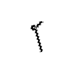 CCCCCCCCCCCCCCc1cccc[n+]1CCCCC